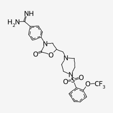 N=C(N)c1ccc(N2CC(CN3CCN(S(=O)(=O)c4ccccc4OC(F)(F)F)CC3)OC2=O)cc1